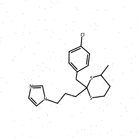 CC1CCSC(CCCn2ccnc2)(Cc2ccc(Cl)cc2)S1